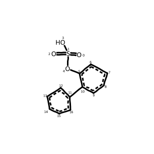 O=S(=O)(O)Oc1[c]cccc1-c1ccccc1